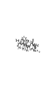 CN1CCCC[C@@H]1[C@H](NC(=O)Nc1cc(F)c2[nH]nc(N)c2c1)c1ccccc1